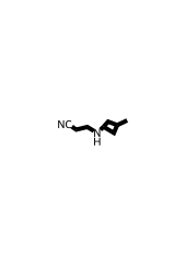 CC1CC(NCCC#N)C1